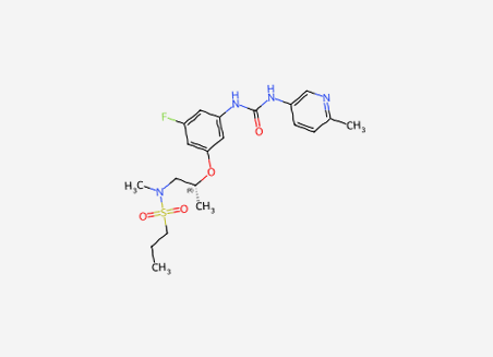 CCCS(=O)(=O)N(C)C[C@@H](C)Oc1cc(F)cc(NC(=O)Nc2ccc(C)nc2)c1